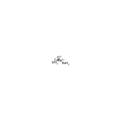 [BaH2].[CaH2].[Cu+2].[O-2].[SrH2]